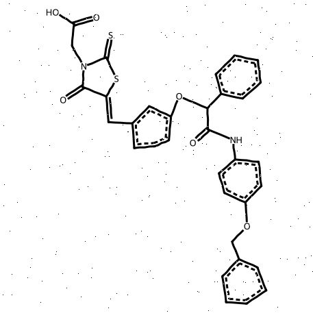 O=C(O)CN1C(=O)C(=Cc2cccc(OC(C(=O)Nc3ccc(OCc4ccccc4)cc3)c3ccccc3)c2)SC1=S